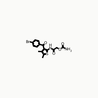 Cc1sc(NC(=O)COC(N)=O)c(C(=O)c2ccc(Br)cc2)c1C